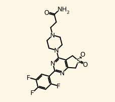 NC(=O)CCN1CCN(c2nc(-c3cc(F)c(F)cc3F)nc3c2CS(=O)(=O)C3)CC1